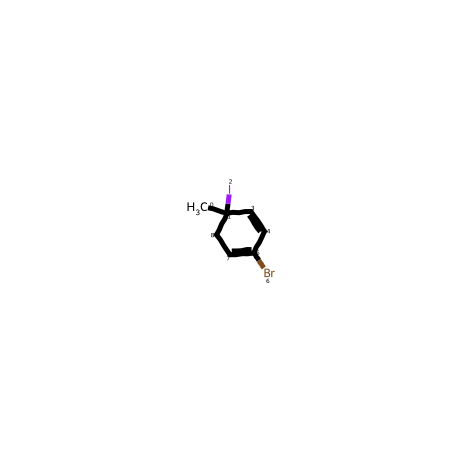 CC1(I)C=CC(Br)=CC1